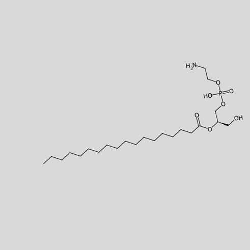 CCCCCCCCCCCCCCCCCC(=O)O[C@H](CO)COP(=O)(O)OCCN